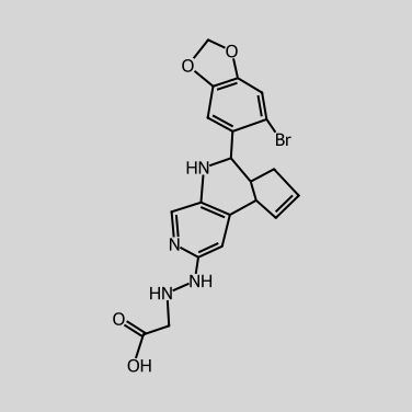 O=C(O)CNNc1cc2c(cn1)NC(c1cc3c(cc1Br)OCO3)C1CC=CC21